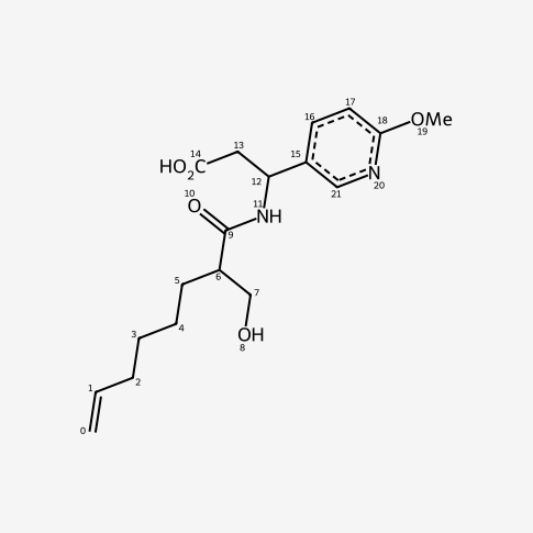 C=CCCCCC(CO)C(=O)NC(CC(=O)O)c1ccc(OC)nc1